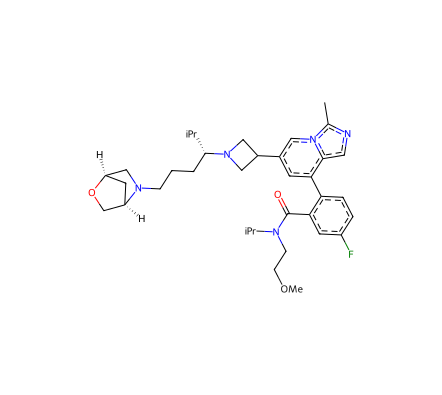 COCCN(C(=O)c1cc(F)ccc1-c1cc(C2CN([C@H](CCCN3C[C@H]4C[C@@H]3CO4)C(C)C)C2)cn2c(C)ncc12)C(C)C